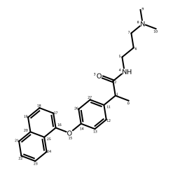 CC(C(=O)NCCCN(C)C)c1ccc(Oc2cccc3ccccc23)cc1